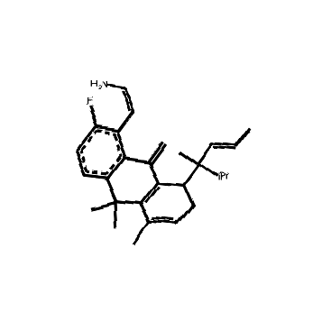 C=C1C2=C(C(C)=CCC2C(C)(C=CC)C(C)C)C(C)(C)c2ccc(F)c(/C=C\N)c21